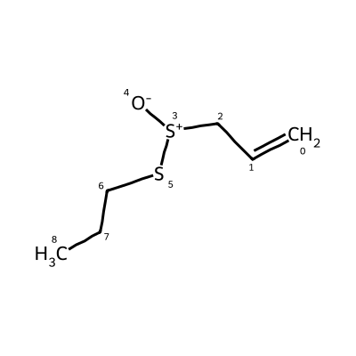 C=CC[S+]([O-])SCCC